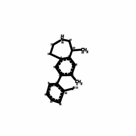 Cc1cc2c(cc1-c1ccccc1F)CCNCC2C